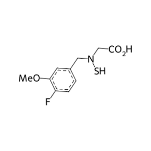 COc1cc(CN(S)CC(=O)O)ccc1F